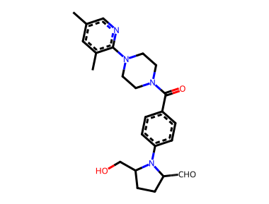 Cc1cnc(N2CCN(C(=O)c3ccc(N4C(C=O)CCC4CO)cc3)CC2)c(C)c1